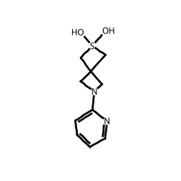 OS1(O)CC2(CN(c3cc[c]cn3)C2)C1